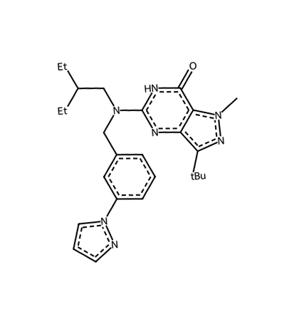 CCC(CC)CN(Cc1cccc(-n2cccn2)c1)c1nc2c(C(C)(C)C)nn(C)c2c(=O)[nH]1